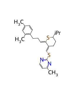 Cc1ccc(CC/C=C2\SC(C(C)C)CC\C2=C/Sc2nccc(C)n2)c(C)c1